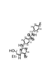 CC[C@H](CO)Nc1nc(Nc2ccc(S(=O)(=O)NCc3ccc(F)cc3)cc2)ncc1Br